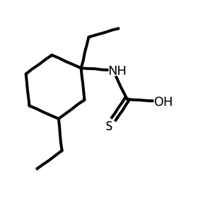 CCC1CCCC(CC)(NC(O)=S)C1